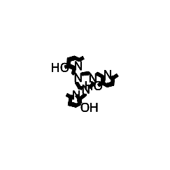 Cc1ccc(O)c(CN2CCN(Cc3nc(C)ccc3O)CCN(Cc3nc(C)ccc3O)CC2)n1